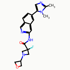 Cc1ncc(-c2ccc3cnc(NC(=O)C4(F)CN(C5COC5)C4)cc3c2)n1C